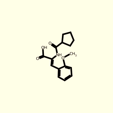 COc1ccccc1C=C(NC(=O)C1CCCC1)C(=O)O